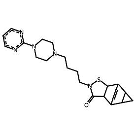 O=C1C2C3C=CC(C4CC34)C2SN1CCCCN1CCN(c2ncccn2)CC1